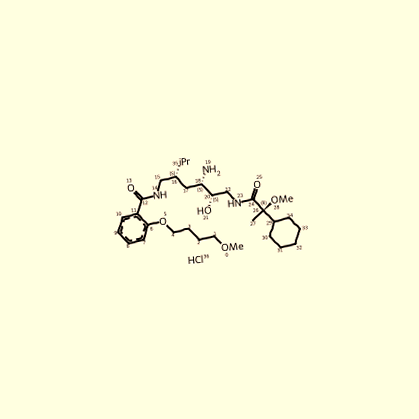 COCCCCOc1ccccc1C(=O)NC[C@@H](C[C@H](N)[C@@H](O)CNC(=O)[C@](C)(OC)C1CCCCC1)C(C)C.Cl